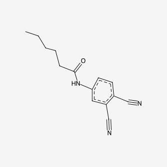 CCCCCC(=O)Nc1ccc(C#N)c(C#N)c1